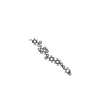 Cc1ccc(C(=O)OCC2OCOC3C(COC(=O)c4ccc(-c5ccc(OCOCC6CCC7OC7C6)cc5)cc4)OCOC23)cc1